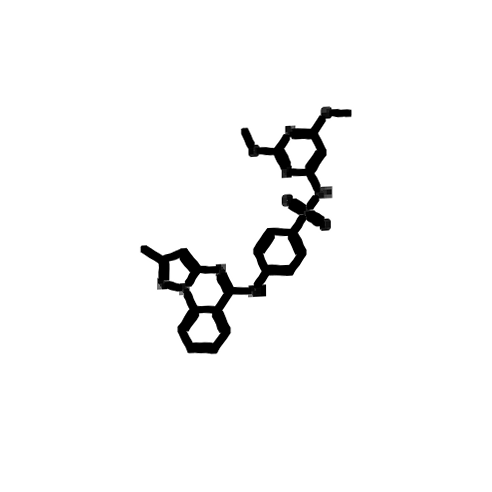 COc1cc(NS(=O)(=O)c2ccc(Nc3nc4cc(C)nn4c4ccccc34)cc2)nc(OC)n1